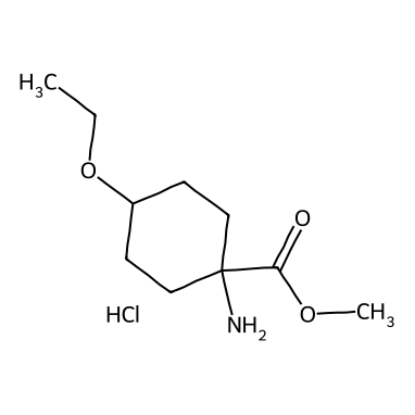 CCOC1CCC(N)(C(=O)OC)CC1.Cl